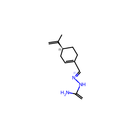 C=C(N)N/N=C/C1=CC[C@@H](C(=C)C)CC1